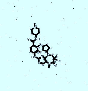 CN1CCC(NC(=O)c2ccc(Nc3ncc4c(n3)N(C3CCCC3)CC(F)(F)C(=O)N4C)c(F)c2F)CC1